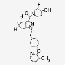 Cc1cccnc1O[C@H]1CC[C@H](CCn2nc(C(=O)N3CC[C@H](O)[C@H](F)C3)c3c2C[C@H]2C[C@@H]32)CC1